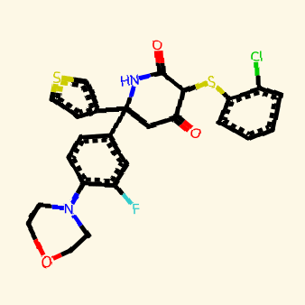 O=C1CC(c2ccsc2)(c2ccc(N3CCOCC3)c(F)c2)NC(=O)C1Sc1ccccc1Cl